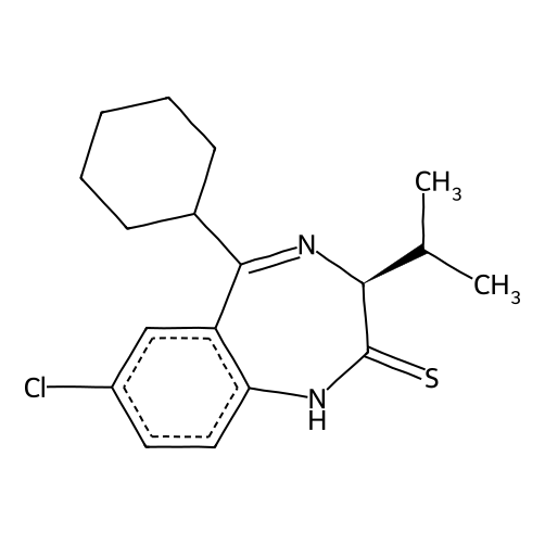 CC(C)[C@@H]1N=C(C2CCCCC2)c2cc(Cl)ccc2NC1=S